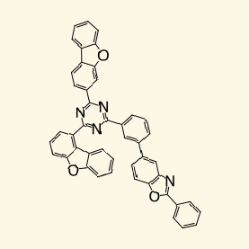 c1ccc(-c2nc3cc(-c4cccc(-c5nc(-c6ccc7c(c6)oc6ccccc67)nc(-c6cccc7oc8ccccc8c67)n5)c4)ccc3o2)cc1